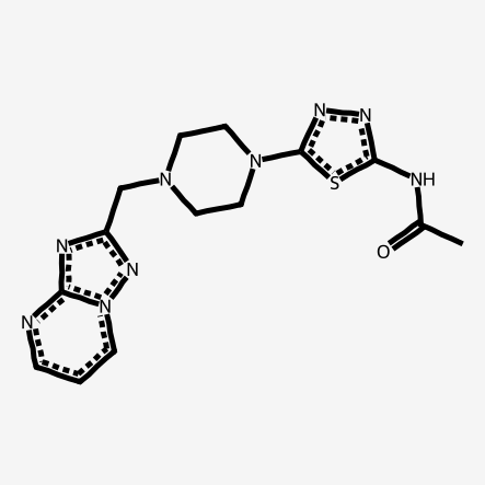 CC(=O)Nc1nnc(N2CCN(Cc3nc4ncccn4n3)CC2)s1